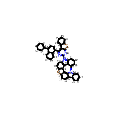 c1ccc(-c2ccc(-c3nc(-n4c5ccc6sc7ccc8c9ccccc9n9c%10cccc4c%10c5c6c7c89)nc4sc5ccccc5c34)c3ccccc23)cc1